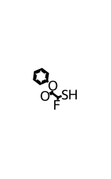 O=C(Oc1ccccc1)C(F)S